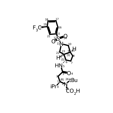 CC(C)[C@@H](CC(=O)N[C@H]1CC[C@@H]2CN(S(=O)(=O)c3cccc(C(F)(F)F)c3)C[C@@H]21)N(C(=O)O)C(C)(C)C